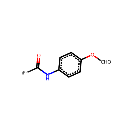 CC(C)C(=O)Nc1ccc(OC=O)cc1